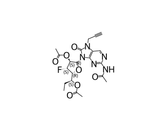 C#CCn1c(=O)n([C@@H]2O[C@H]([C@H](CC)OC(C)=O)[C@H](F)[C@H]2OC(C)=O)c2nc(NC(C)=O)ncc21